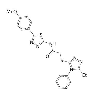 CCc1nnc(SCC(=O)Nc2nnc(-c3ccc(OC)cc3)s2)n1-c1ccccc1